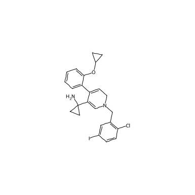 NC1(C2=CN(Cc3cc(I)ccc3Cl)CC=C2c2ccccc2OC2CC2)CC1